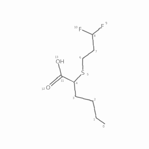 CCCCC(SCCC(F)F)C(=O)O